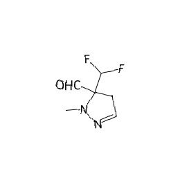 CN1N=CCC1(C=O)C(F)F